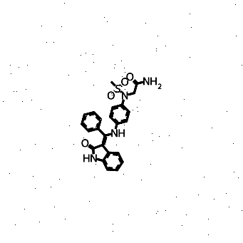 CS(=O)(=O)N(CC(N)=O)c1ccc(NC(=C2C(=O)Nc3ccccc32)c2ccccc2)cc1